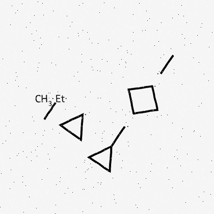 C[CH]C.[CH2]C.[CH2]C1CC1.[CH3].[CH]1CC1.[CH]1CCC1